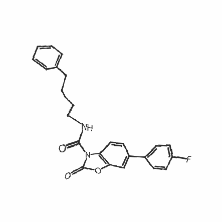 O=C(NCCCCc1ccccc1)n1c(=O)oc2cc(-c3ccc(F)cc3)ccc21